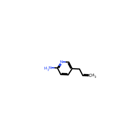 C=CCc1ccc(N)nc1